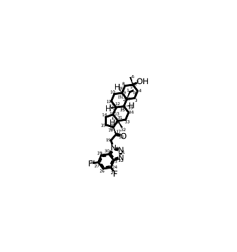 CC[C@]12CC[C@@](C)(O)C[C@@H]1CC[C@H]1[C@@H]3CC[C@H](C(=O)Cn4nnc5c(F)cc(F)cc54)[C@@]3(C)CC[C@@H]12